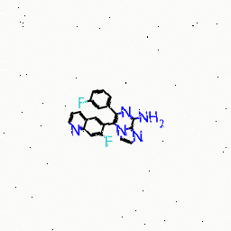 Nc1nc(-c2cccc(F)c2)c(-c2cc3cccnc3cc2F)n2ccnc12